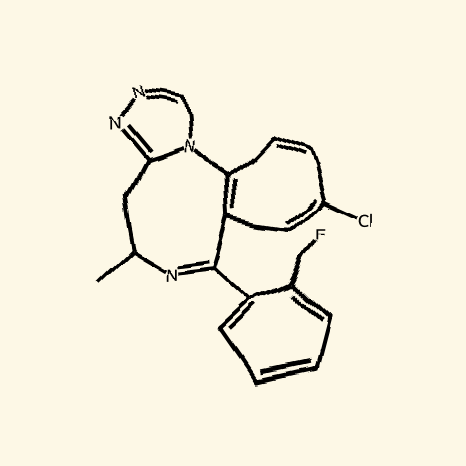 CC1Cc2nncn2-c2ccc(Cl)cc2/C(c2ccccc2F)=N\1